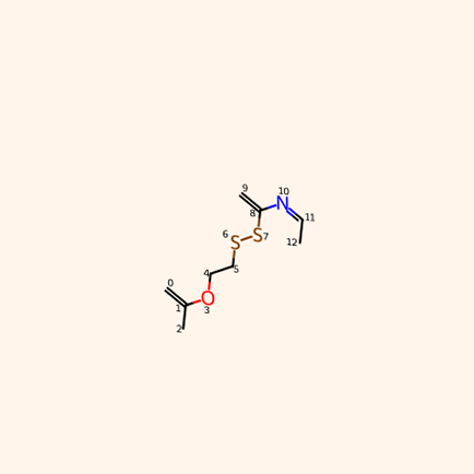 C=C(C)OCCSSC(=C)/N=C\C